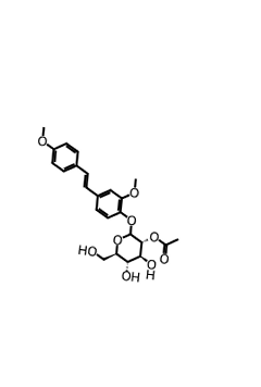 COc1ccc(C=Cc2ccc(OC3O[C@H](CO)[C@@H](O)[C@H](O)[C@H]3OC(C)=O)c(OC)c2)cc1